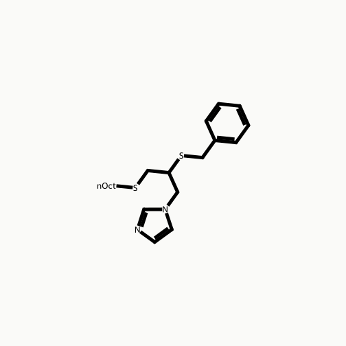 CCCCCCCCSCC(Cn1ccnc1)SCc1ccccc1